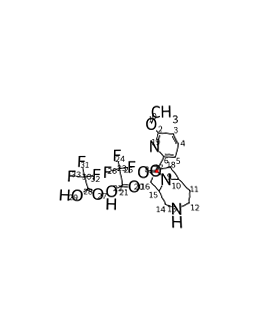 COc1cccc(C(=O)N2C3CCNCC2COC3)n1.O=C(O)C(F)(F)F.O=C(O)C(F)(F)F